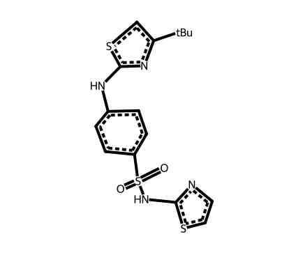 CC(C)(C)c1csc(Nc2ccc(S(=O)(=O)Nc3nccs3)cc2)n1